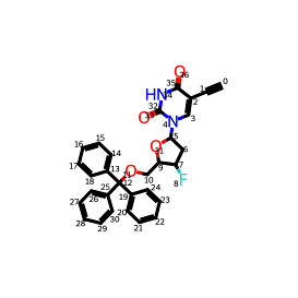 C#Cc1cn(C2CC(F)C(COC(c3ccccc3)(c3ccccc3)c3ccccc3)O2)c(=O)[nH]c1=O